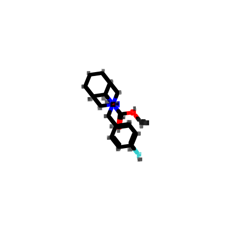 CC(C)(C)OC(=O)N1CC2CCCC(C1)C2NCc1ccc(F)cc1